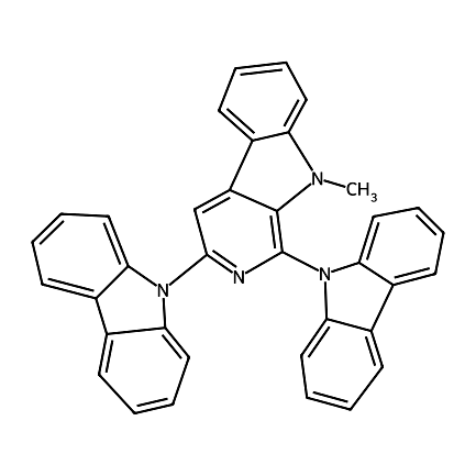 Cn1c2ccccc2c2cc(-n3c4ccccc4c4ccccc43)nc(-n3c4ccccc4c4ccccc43)c21